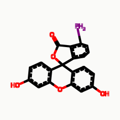 O=C1OC2(c3ccc(O)cc3Oc3cc(O)ccc32)c2cccc(P)c21